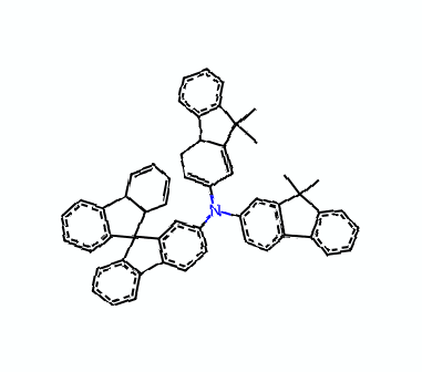 CC1(C)C2=CC(N(c3ccc4c(c3)C(C)(C)c3ccccc3-4)c3ccc4c(c3)C3(c5ccccc5-4)c4ccccc4C4C=CC=CC43)=CCC2c2ccccc21